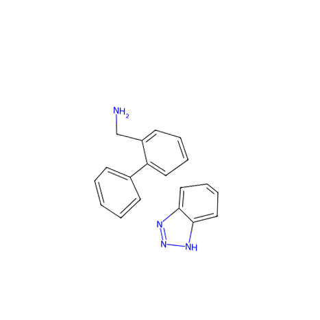 NCc1ccccc1-c1ccccc1.c1ccc2[nH]nnc2c1